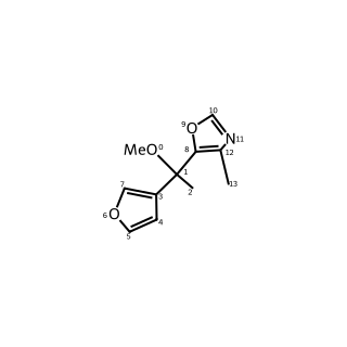 COC(C)(c1ccoc1)c1ocnc1C